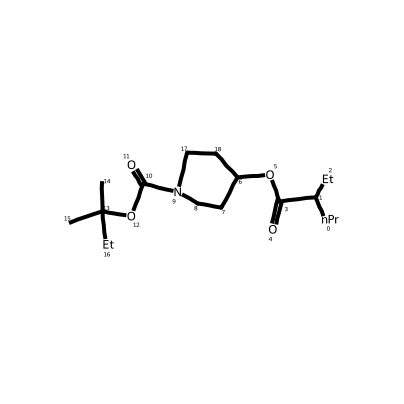 CCCC(CC)C(=O)OC1CCN(C(=O)OC(C)(C)CC)CC1